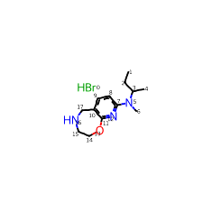 Br.CCC(C)N(C)c1ccc2c(n1)OCCNC2